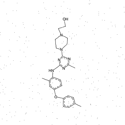 Cc1ccc(Oc2ccc(Nc3nc(C)nc(N4CCN(CCO)CC4)n3)c(C)c2)cc1